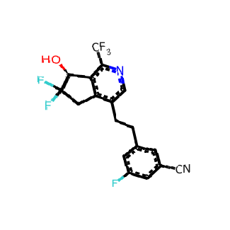 N#Cc1cc(F)cc(CCc2cnc(C(F)(F)F)c3c2CC(F)(F)[C@H]3O)c1